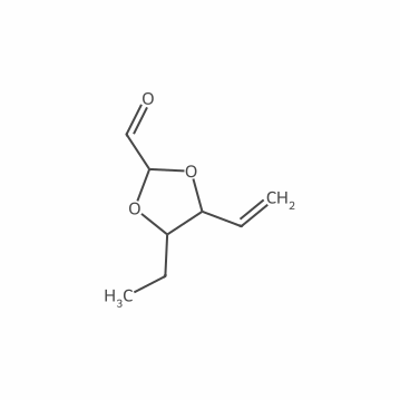 C=CC1OC(C=O)OC1CC